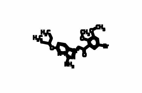 CCC(CC)Oc1ccc2n(n1)c(N)n[n+]2CC(=O)c1cc(Br)cc(OC)c1OC